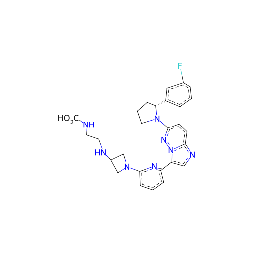 O=C(O)NCCNC1CN(c2cccc(-c3cnc4ccc(N5CCC[C@@H]5c5cccc(F)c5)nn34)n2)C1